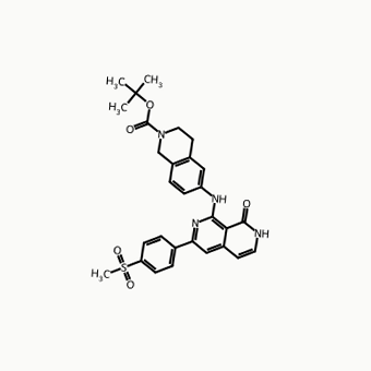 CC(C)(C)OC(=O)N1CCc2cc(Nc3nc(-c4ccc(S(C)(=O)=O)cc4)cc4cc[nH]c(=O)c34)ccc2C1